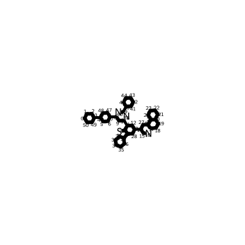 c1ccc(-c2ccc(-c3cc(-c4cc(-c5cnc6ccc7ccccc7c6c5)cc5c4sc4ccccc45)nc(-c4ccccc4)n3)cc2)cc1